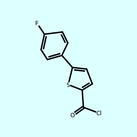 O=C(Cl)c1ccc(-c2ccc(F)cc2)s1